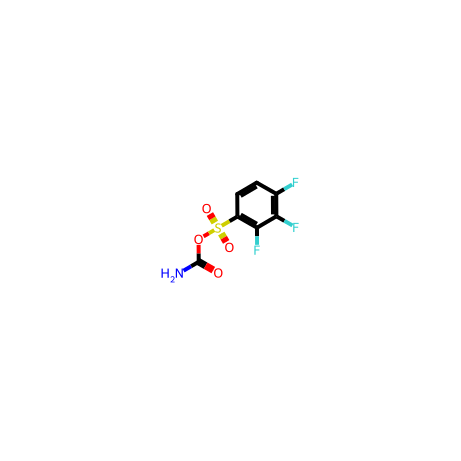 NC(=O)OS(=O)(=O)c1ccc(F)c(F)c1F